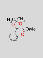 COC(=O)C1OC(C)(C)OC1c1ccccc1